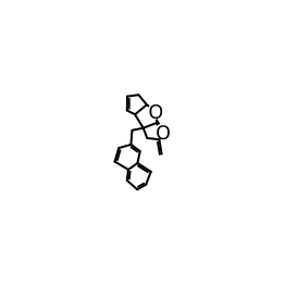 C=CCC1(Cc2ccc3ccccc3c2)C(=O)OC2CC=CC21